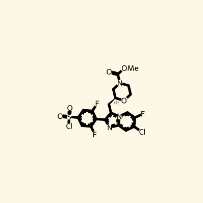 COC(=O)N1CCO[C@@H](Cc2c(-c3c(F)cc(S(=O)(=O)Cl)cc3F)nc3cc(Cl)c(F)cn23)C1